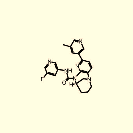 Cc1cncc(-c2ccc3c(n2)N(C(=O)Nc2cncc(F)c2)[C@H]2CCCN3C2)c1